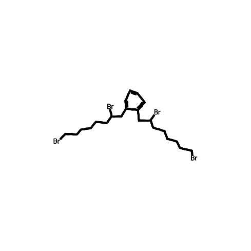 BrCCCCCCC(Br)Cc1ccccc1CC(Br)CCCCCCBr